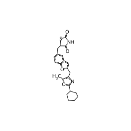 Cc1oc(C2CCCCC2)nc1Cc1cc2cc(CC3SC(=O)NC3=O)ccc2o1